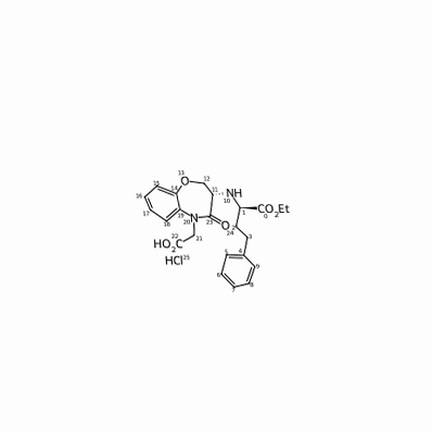 CCOC(=O)[C@@H](CCc1ccccc1)N[C@H]1COc2ccccc2N(CC(=O)O)C1=O.Cl